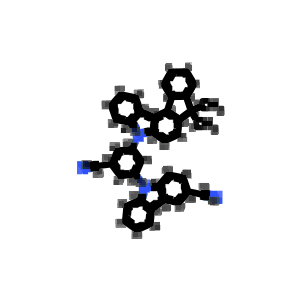 CC1(C)c2ccccc2-c2c1ccc1c2c2ccccc2n1-c1cc(C#N)cc(-n2c3ccccc3c3cc(C#N)ccc32)c1